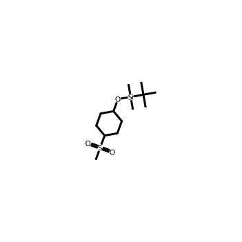 CC(C)(C)[Si](C)(C)OC1CCC(S(C)(=O)=O)CC1